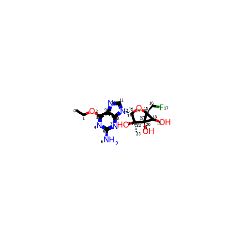 CCOc1nc(N)nc2c1ncn2[C@@H]1O[C@]2(CF)C(O)[C@]2(O)[C@@]1(C)O